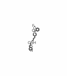 O=C(NCCCCC1CCN(C(=O)c2ccccc2OCF)CC1)c1cc2ccncc2s1